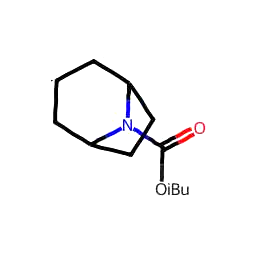 CC(C)COC(=O)N1C2C[CH]CC1CC2